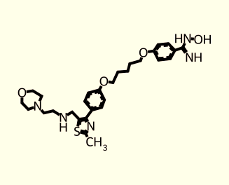 Cc1nc(-c2ccc(OCCCCCOc3ccc(C(=N)NO)cc3)cc2)c(CNCCN2CCOCC2)s1